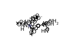 CC(C)(C)OC(=O)Nc1nc(/C(=N/O[C@](C)(C(=O)OC(C)(C)C)[C@H]2CCc3cc(-c4cn(C[C@@H](O)CN)[n+](C[C@@H]5CCNC5)c4)ccc3O2)C(=O)N[C@@H]2C(=O)N(OS(=O)(=O)[O-])C2(C)C)cs1